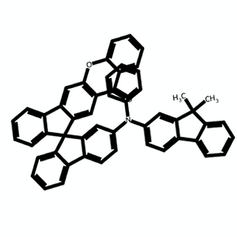 CC1(C)c2ccccc2-c2ccc(N(c3ccccc3)c3ccc4c(c3)C3(c5ccccc5-4)c4ccccc4-c4cc5oc6ccccc6c(=O)c5cc43)cc21